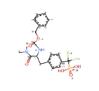 CN(C)C(=O)C(Cc1ccc(C(F)(F)P(=O)(O)O)cc1)NC(=O)OCc1ccccc1